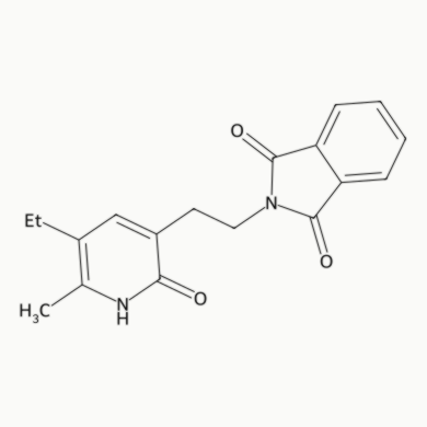 CCc1cc(CCN2C(=O)c3ccccc3C2=O)c(=O)[nH]c1C